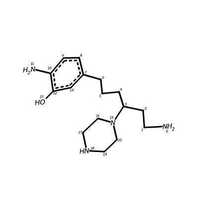 NCCC(CCCc1ccc(N)c(O)c1)N1CCNCC1